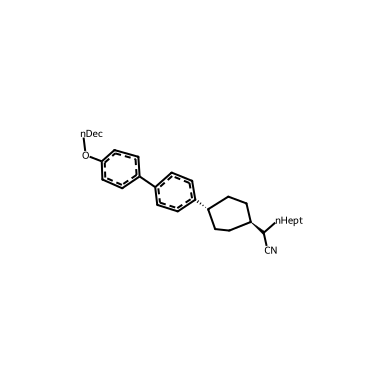 CCCCCCCCCCOc1ccc(-c2ccc([C@H]3CC[C@H](C(C#N)CCCCCCC)CC3)cc2)cc1